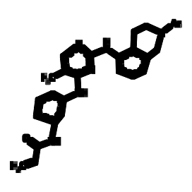 C=CC(=O)Nc1cccc(Nc2nc(Nc3cccc4c3CCN(C(C)=O)C4)ncc2C(F)(F)F)c1